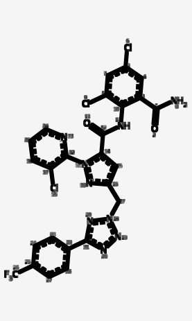 NC(=O)c1cc(Cl)cc(Cl)c1NC(=O)c1cc(Cn2nnc(-c3ccc(C(F)(F)F)cc3)n2)nn1-c1ncccc1Cl